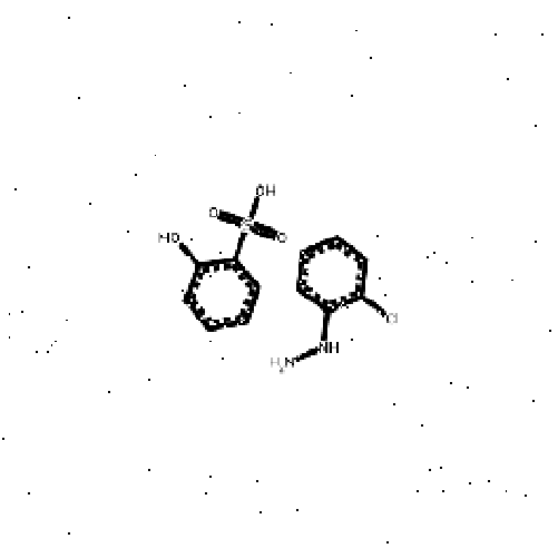 NNc1ccccc1Cl.O=S(=O)(O)c1ccccc1O